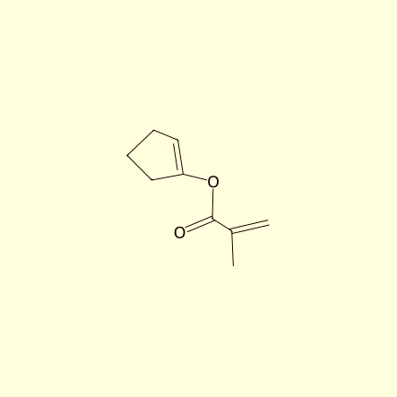 C=C(C)C(=O)OC1=CCCC1